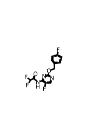 O=C(Nc1nc(OCc2ccc(F)cc2)ncc1F)C(F)F